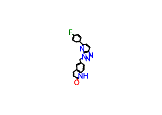 O=c1ccc2cc(Cn3nnc4ccc(-c5ccc(F)cc5)nc43)ccc2[nH]1